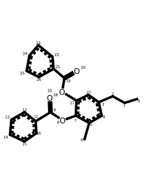 CCCc1cc(C)c(OC(=O)c2ccccc2)c(OC(=O)c2ccccc2)c1